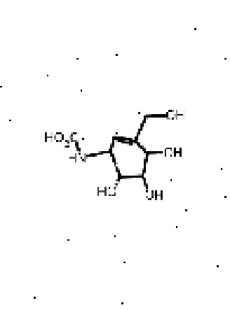 O=C(O)NC1C=C(CO)C(O)C(O)C1O